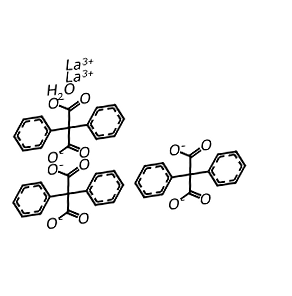 O.O=C([O-])C(C(=O)[O-])(c1ccccc1)c1ccccc1.O=C([O-])C(C(=O)[O-])(c1ccccc1)c1ccccc1.O=C([O-])C(C(=O)[O-])(c1ccccc1)c1ccccc1.[La+3].[La+3]